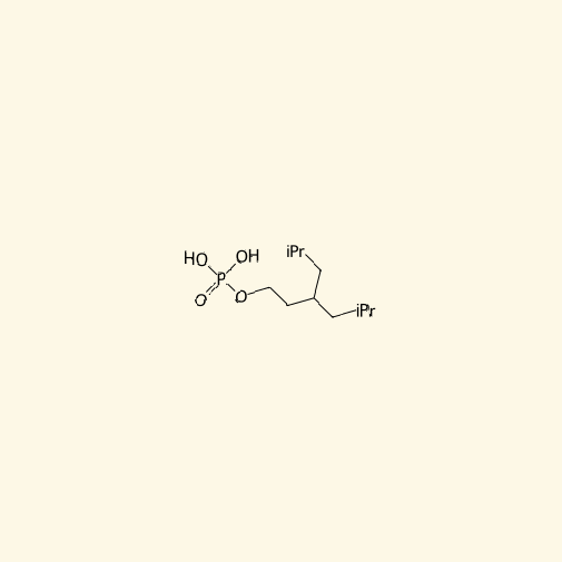 CC(C)CC(CCOP(=O)(O)O)CC(C)C